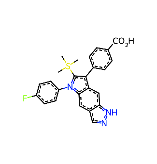 CS(C)(C)c1c(-c2ccc(C(=O)O)cc2)c2cc3[nH]ncc3cc2n1-c1ccc(F)cc1